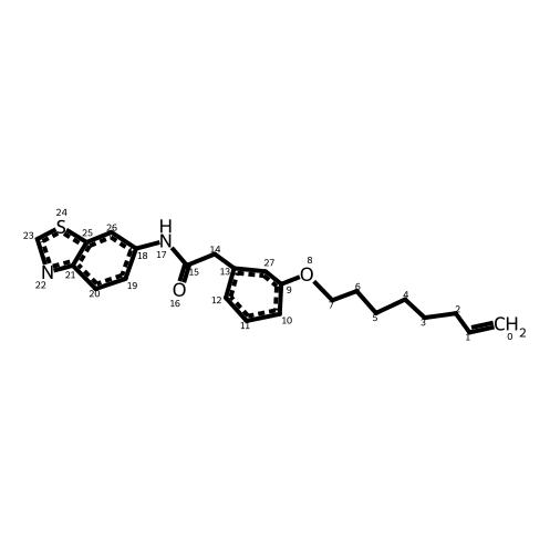 C=CCCCCCCOc1cccc(CC(=O)Nc2ccc3ncsc3c2)c1